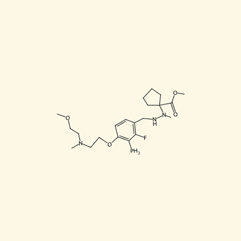 COCCN(C)CCOc1ccc(CNN(C)C2(C(=O)OC)CCCC2)c(F)c1P